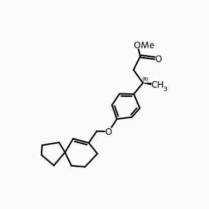 COC(=O)C[C@@H](C)c1ccc(OCC2=CC3(CCCC3)CCC2)cc1